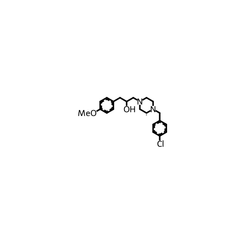 COc1ccc(CC(O)CN2C[CH]N(Cc3ccc(Cl)cc3)CC2)cc1